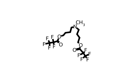 CN(CCCCOC(=O)C(F)(F)C(F)(F)F)CCCCOC(=O)C(F)(F)C(F)(F)F